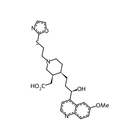 COc1ccc2nccc([C@H](O)CC[C@@H]3CCN(CCSc4ncco4)C[C@@H]3CC(=O)O)c2c1